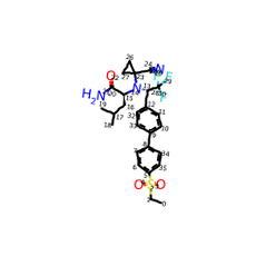 CCS(=O)(=O)c1ccc(-c2ccc([C@H](N([C@@H](CC(C)C)C(N)=O)C3(C#N)CC3)C(F)(F)F)cc2)cc1